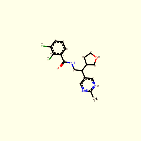 Cc1ncc(C(CNC(=O)c2cccc(Cl)c2Cl)C2CCOC2)cn1